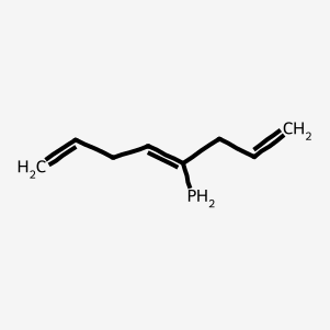 C=CCC=C(P)CC=C